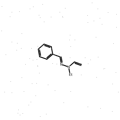 C=CN(CC)N=Cc1ccccc1